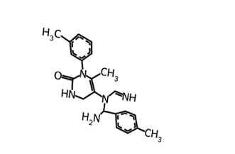 CC1=C(N(C=N)C(N)c2ccc(C)cc2)CNC(=O)N1c1cccc(C)c1